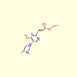 CCOC(=O)C=Cc1ncc(-n2cnc(C)c2)c(OC)n1